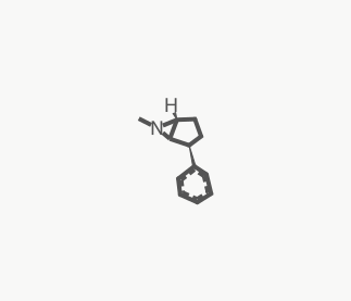 CN1C2[C@H]1CC[C@H]2c1ccccc1